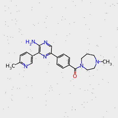 Cc1ccc(-c2nc(-c3ccc(C(=O)N4CCCN(C)CC4)cc3)cnc2N)cn1